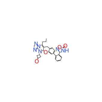 CCCc1c(Cc2ccc(-c3ccccc3-c3noc(=O)[nH]3)cc2)c(=O)n(C2CC(=O)C2)c2ncnn12